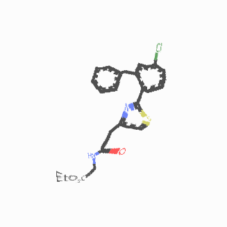 CCOC(=O)CNC(=O)Cc1csc(-c2ccc(Cl)cc2-c2ccccc2)n1